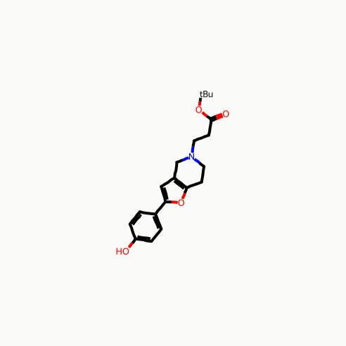 CC(C)(C)OC(=O)CCN1CCc2oc(-c3ccc(O)cc3)cc2C1